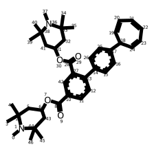 CN1C(C)(C)CC(OC(=O)c2ccc(-c3ccc(C4C=CC=CC=C4)cc3)c(C(=O)OC3CC(C)(C)N(C)C(C)(C)C3)c2)CC1(C)C